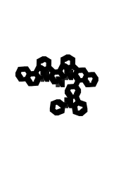 c1ccc(-n2c3ccccc3c3cc(-c4c5ccccc5cc5c6cccc7c8c9c%10cccc%11c%12c%13ccccc%13ccc%12n(c9cnc8n(c45)c67)c%11%10)ccc32)cc1